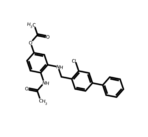 CC(=O)Nc1ccc(OC(C)=O)cc1NCc1ccc(-c2ccccc2)cc1Cl